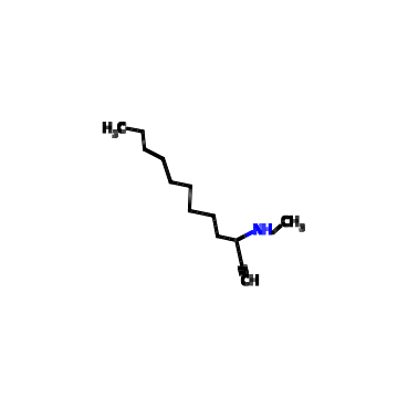 C#CC(CCCCCCCCC)NCC